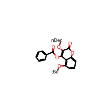 CCCCCCCCCCOc1c(OC(=O)c2ccccc2)c2c(OC(C)(C)C)cccc2oc1=O